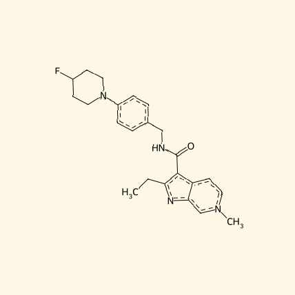 CCc1nc2cn(C)ccc-2c1C(=O)NCc1ccc(N2CCC(F)CC2)cc1